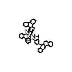 NC(NC(NCc1ccc(-c2c3ccccc3cc3c2ccc2ccccc23)cc1)c1ccc2c3ccccc3c3ccccc3c2c1)c1ccccc1-c1ccccc1